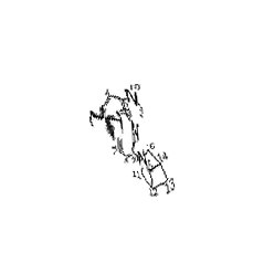 CN(C)c1cnn2ccc(N3CC4CC(C4)C3)nc12